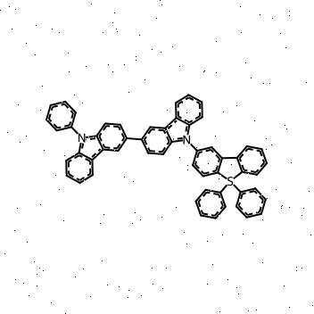 c1ccc(-n2c3ccccc3c3cc(-c4ccc5c(c4)c4ccccc4n5-c4ccc5c(c4)-c4ccccc4S5(c4ccccc4)c4ccccc4)ccc32)cc1